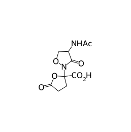 CC(=O)NC1CON(C2(C(=O)O)CCC(=O)O2)C1=O